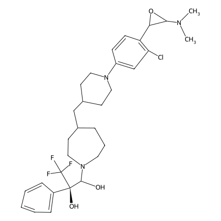 CN(C)C1OC1c1ccc(N2CCC(CC3CCCN(C(O)[C@](O)(c4ccccc4)C(F)(F)F)CC3)CC2)cc1Cl